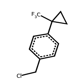 FC(F)(F)C1(c2ccc(CCl)cc2)CC1